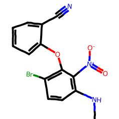 CNc1ccc(Br)c(Oc2ccccc2C#N)c1[N+](=O)[O-]